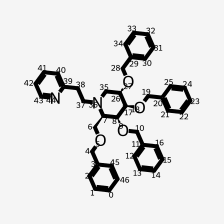 c1ccc(COC[C@@H]2[C@@H](OCc3ccccc3)[C@H](OCc3ccccc3)[C@@H](OCc3ccccc3)CN2CCc2ccccn2)cc1